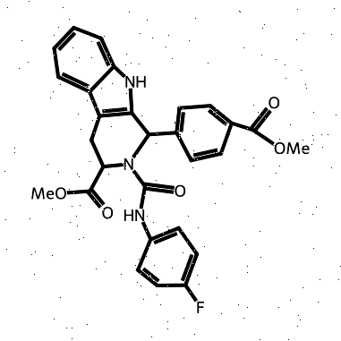 COC(=O)c1ccc(C2c3[nH]c4ccccc4c3CC(C(=O)OC)N2C(=O)Nc2ccc(F)cc2)cc1